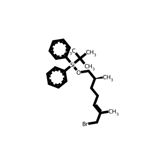 C/C(=C\CC[C@H](C)CO[Si](c1ccccc1)(c1ccccc1)C(C)(C)C)CBr